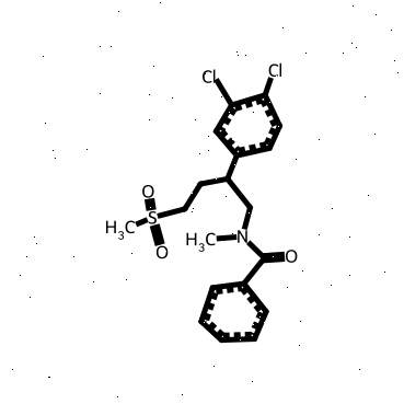 CN(CC(CCS(C)(=O)=O)c1ccc(Cl)c(Cl)c1)C(=O)c1ccccc1